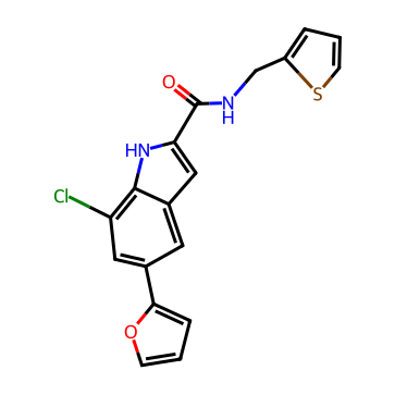 O=C(NCc1cccs1)c1cc2cc(-c3ccco3)cc(Cl)c2[nH]1